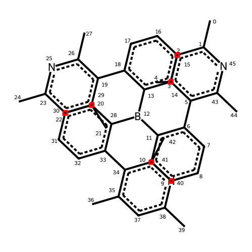 Cc1cc(C)c(-c2ccccc2B(c2ccccc2-c2c(C)cc(C)nc2C)c2ccccc2-c2c(C)cc(C)nc2C)c(C)n1